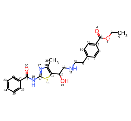 CCOC(=O)c1ccc(CCNCC(O)c2sc(NC(=O)c3ccccc3)nc2C)cc1